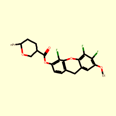 CCCC1CCC(C(=O)Oc2ccc3c(c2F)Oc2c(cc(OCC)c(F)c2F)C3)CO1